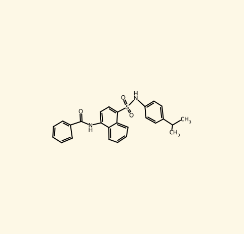 CC(C)c1ccc(NS(=O)(=O)c2ccc(NC(=O)c3ccccc3)c3ccccc23)cc1